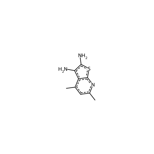 Cc1cc(C)c2c(N)c(N)sc2n1